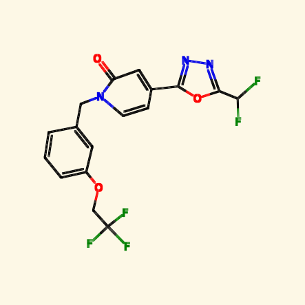 O=c1cc(-c2nnc(C(F)F)o2)ccn1Cc1cccc(OCC(F)(F)F)c1